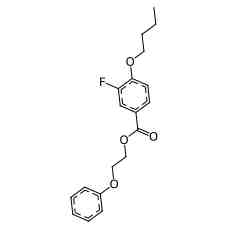 CCCCOc1ccc(C(=O)OCCOc2ccccc2)cc1F